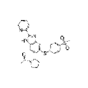 CC(=O)N1CCCC1c1cc2[nH]c(-c3ccccn3)nc2cc1Sc1ccc(S(C)(=O)=O)cc1